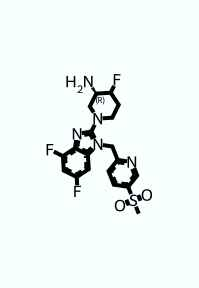 CS(=O)(=O)c1ccc(Cn2c(N3CCC(F)[C@H](N)C3)nc3c(F)cc(F)cc32)nc1